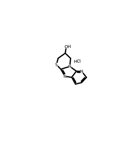 Cl.OC1CSc2nc3cccnc3n2C1